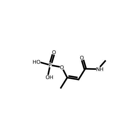 CNC(=O)/C=C(/C)OP(=O)(O)O